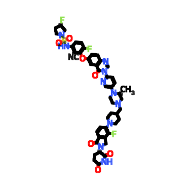 C[C@H]1CN(CC2CCN(c3ccc4c(c3F)CN([C@H]3CCC(=O)NC3=O)C4=O)CC2)CCN1c1ccc(-n2cnc3ccc(Oc4c(F)ccc(NS(=O)(=O)N5CC[C@@H](F)C5)c4C#N)cc3c2=O)nc1